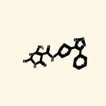 NC1=C(C(=O)Nc2ccc(-c3[nH]nnc3-c3ccccc3)cc2)C(=O)NC(S)N1